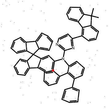 CC1(C)c2ccccc2-c2c(-c3ccnc(N(c4ccc5c(c4)C4(c6ccccc6-c6ccccc64)c4ccccc4-5)c4cccc(-c5ccccc5)c4-c4ccccc4)n3)cccc21